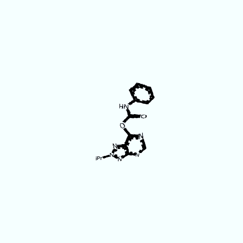 CC(C)n1nc2ncnc(OC(=O)Nc3ccccc3)c2n1